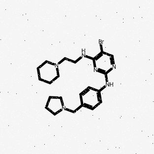 Brc1cnc(Nc2ccc(CN3CCCC3)cc2)nc1NCCN1CCCCC1